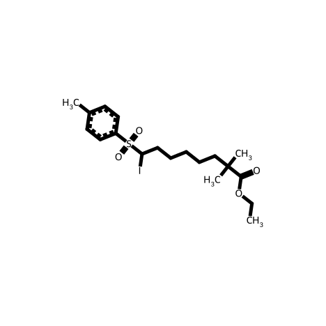 CCOC(=O)C(C)(C)CCCCCC(I)S(=O)(=O)c1ccc(C)cc1